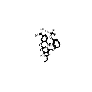 CCc1nc2c(Oc3cccc(OC(F)(F)F)c3)nc(Oc3cc(C(=N)N)ccc3N)nc2[nH]1